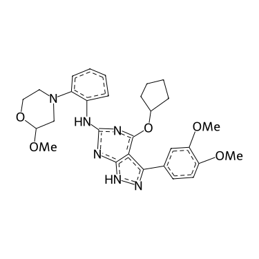 COc1ccc(-c2n[nH]c3nc(Nc4ccccc4N4CCOC(OC)C4)nc(OC4CCCC4)c23)cc1OC